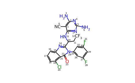 N#Cc1c(N)nc(N)nc1NC(CC(F)(F)F)c1nc2cccc(Cl)c2c(=O)n1-c1cc(F)cc(F)c1